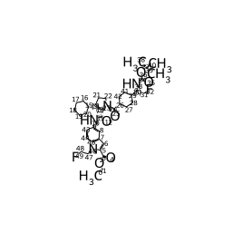 CCOC(=O)c1cc2cc(NC(=O)[C@@H]3[C@H](C4CCCCC4)CCN3C(=O)[C@H]3CC[C@H]([C@@H](CF)NC(=O)OC(C)(C)C)CC3)ccc2n1CCF